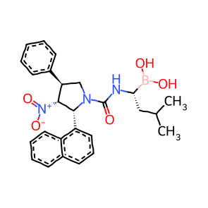 CC(C)C[C@H](NC(=O)N1C[C@H](c2ccccc2)[C@@H]([N+](=O)[O-])[C@H]1c1cccc2ccccc12)B(O)O